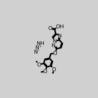 COc1cc(COc2ccc3nc(C(=O)O)cn3n2)cc(OC)c1OC.[N-]=[N+]=N